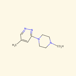 Cc1cnnc(N2CCN(C(=O)O)CC2)c1